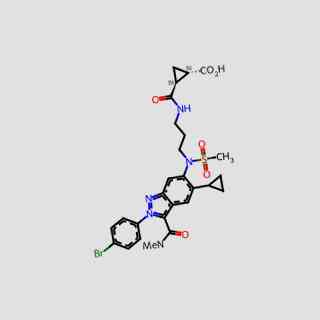 CNC(=O)c1c2cc(C3CC3)c(N(CCCNC(=O)[C@H]3C[C@@H]3C(=O)O)S(C)(=O)=O)cc2nn1-c1ccc(Br)cc1